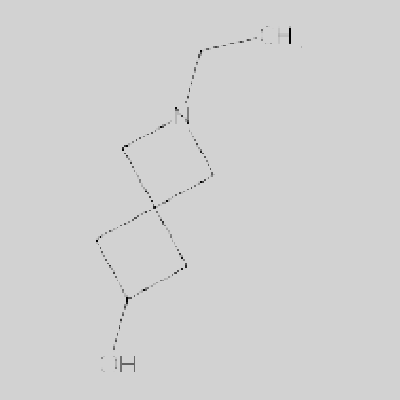 C[CH]N1CC2(CC(O)C2)C1